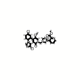 COC(=O)c1ncccc1N1CN(Cn2cc(OC)c(-c3cc(Cl)ccc3-n3cc(Cl)nn3)cc2=O)CN1